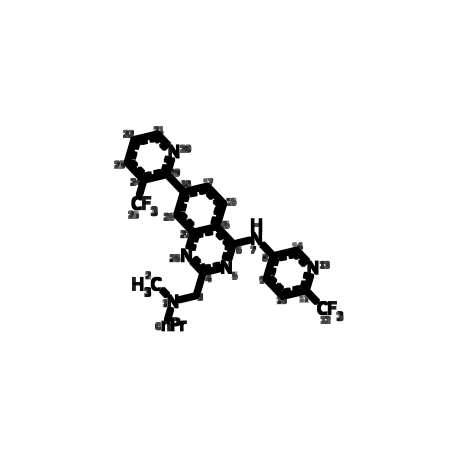 CCCN(C)Cc1nc(Nc2ccc(C(F)(F)F)nc2)c2ccc(-c3ncccc3C(F)(F)F)cc2n1